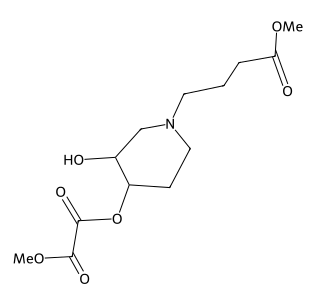 COC(=O)CCCN1CCC(OC(=O)C(=O)OC)C(O)C1